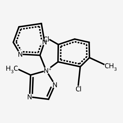 CC1=NC=N[N+]1(c1ncccn1)c1c(Cl)ccc(C)c1Cl